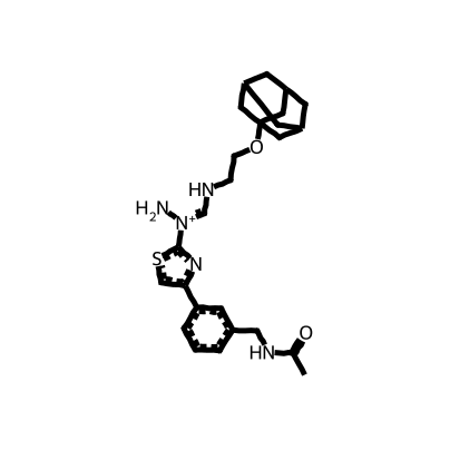 CC(=O)NCc1cccc(-c2csc([N+](N)=CNCCOC34CC5CC(CC(C5)C3)C4)n2)c1